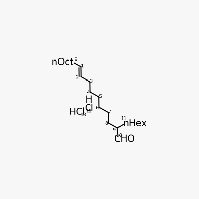 CCCCCCCCC=CCCCCCCC(C=O)CCCCCC.Cl.Cl